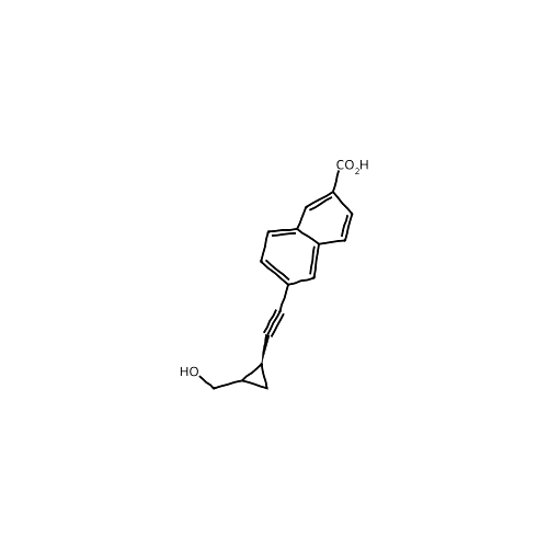 O=C(O)c1ccc2cc(C#C[C@H]3CC3CO)ccc2c1